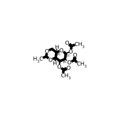 CC(=O)O[C@@H]1O[C@@H]2COC(C)O[C@H]2[C@H](OC(C)=O)[C@H]1OC(C)=O